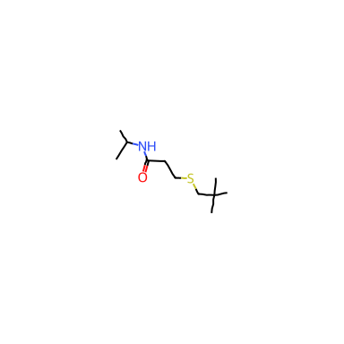 CC(C)NC(=O)CCSCC(C)(C)C